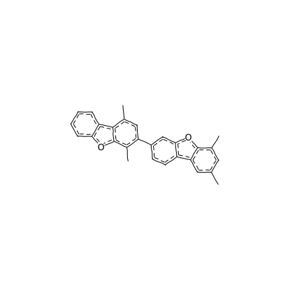 Cc1cc(C)c2oc3cc(-c4cc(C)c5c(oc6ccccc65)c4C)ccc3c2c1